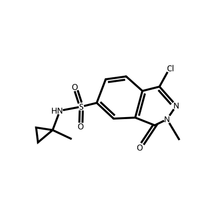 Cn1nc(Cl)c2ccc(S(=O)(=O)NC3(C)CC3)cc2c1=O